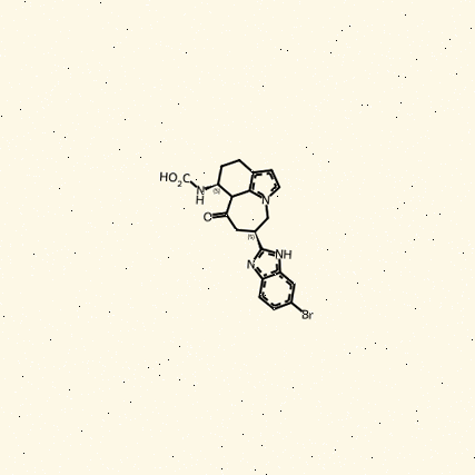 O=C(O)N[C@H]1CCc2ccn3c2C1C(=O)C[C@H](c1nc2ccc(Br)cc2[nH]1)C3